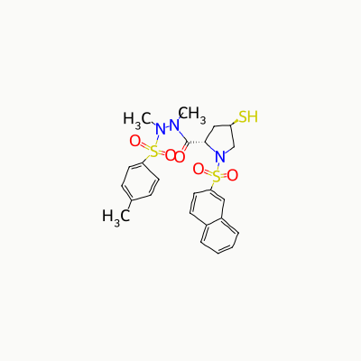 Cc1ccc(S(=O)(=O)N(C)N(C)C(=O)[C@@H]2C[C@@H](S)CN2S(=O)(=O)c2ccc3ccccc3c2)cc1